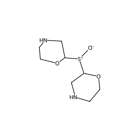 [O-][S+](C1CNCCO1)C1CNCCO1